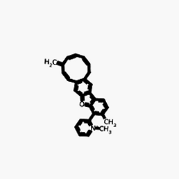 C=C1/C=C\C=C/Cc2cc3c(cc2/C=C\1)oc1c(-c2cccc[n+]2C)c(C)ccc13